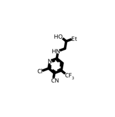 CCC(O)CNc1cc(C(F)(F)F)c(C#N)c(Cl)n1